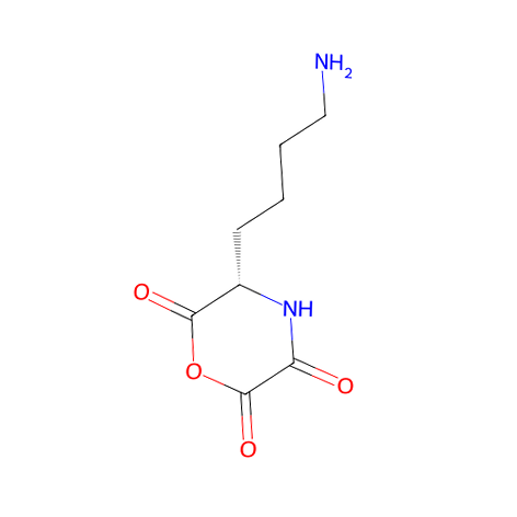 NCCCC[C@@H]1NC(=O)C(=O)OC1=O